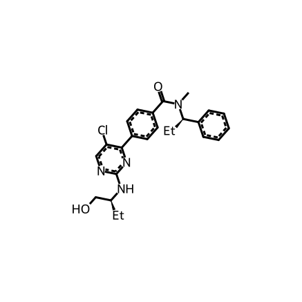 CC[C@@H](CO)Nc1ncc(Cl)c(-c2ccc(C(=O)N(C)[C@H](CC)c3ccccc3)cc2)n1